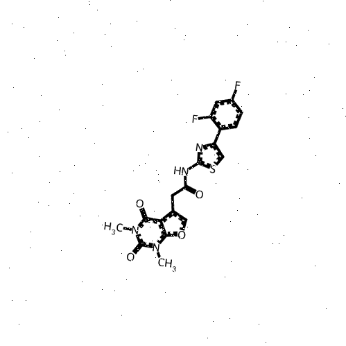 Cn1c(=O)c2c(CC(=O)Nc3nc(-c4ccc(F)cc4F)cs3)coc2n(C)c1=O